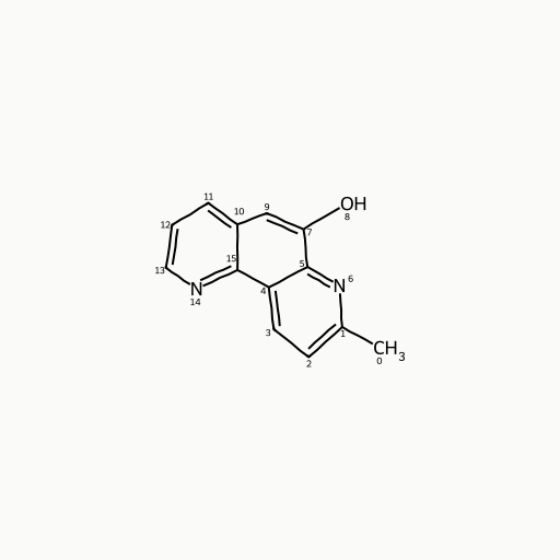 Cc1ccc2c(n1)c(O)cc1cccnc12